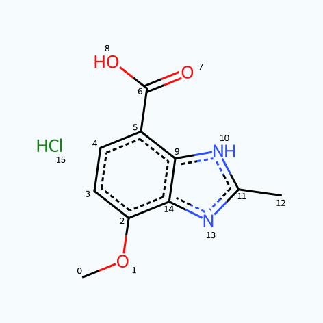 COc1ccc(C(=O)O)c2[nH]c(C)nc12.Cl